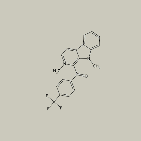 Cn1c2ccccc2c2cc[n+](C)c(C(=O)c3ccc(C(F)(F)F)cc3)c21